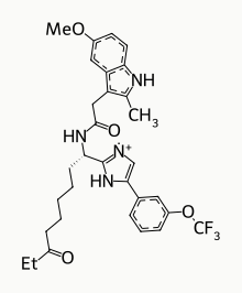 CCC(=O)CCCCC[C@H](NC(=O)Cc1c(C)[nH]c2ccc(OC)cc12)C1=[N+]C=C(c2cccc(OC(F)(F)F)c2)N1